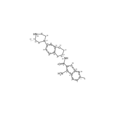 Cc1ccc2c(N)c(C(=O)N[C@H]3COc4cc(N5CCN[C@@H](C)C5)ccc4C3)sc2n1